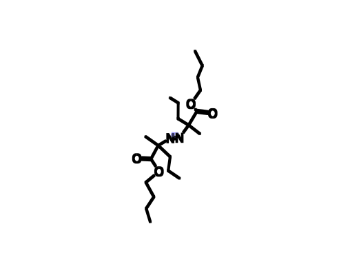 CCCCOC(=O)C(C)(CCC)/N=N/C(C)(CCC)C(=O)OCCCC